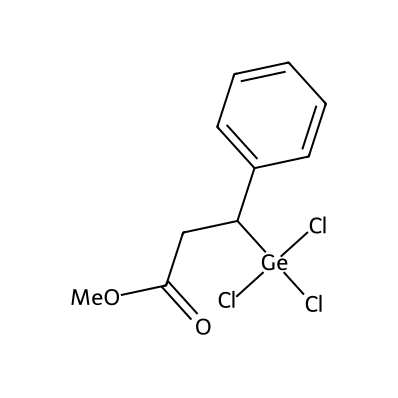 COC(=O)C[CH](c1ccccc1)[Ge]([Cl])([Cl])[Cl]